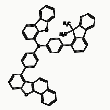 CC1(C)c2ccccc2-c2cccc(-c3ccc(N(c4ccc(-c5cccc6oc7c8ccccc8ccc7c56)cc4)c4cccc5c4oc4ccccc45)cc3)c21